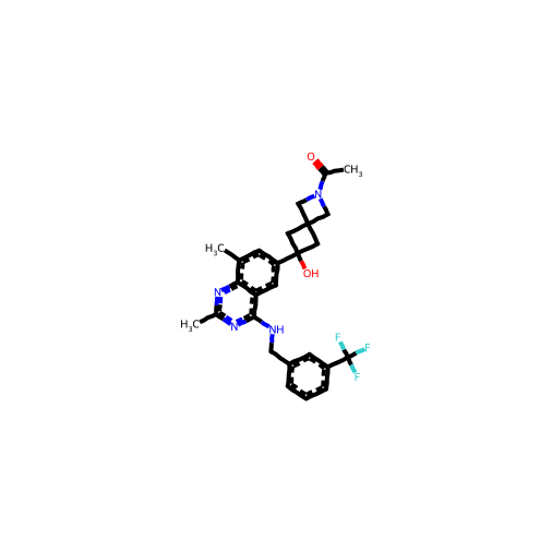 CC(=O)N1CC2(C1)CC(O)(c1cc(C)c3nc(C)nc(NCc4cccc(C(F)(F)F)c4)c3c1)C2